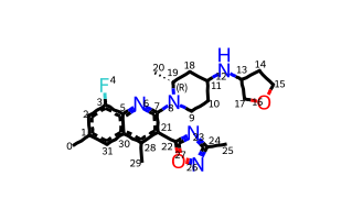 Cc1cc(F)c2nc(N3CCC(NC4CCOC4)C[C@H]3C)c(-c3nc(C)no3)c(C)c2c1